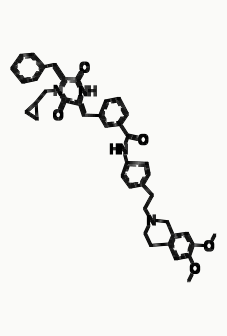 COc1cc2c(cc1OC)CN(CCc1ccc(NC(=O)c3cccc(/C=c4\[nH]c(=O)/c(=C/c5ccccc5)n(CC5CC5)c4=O)c3)cc1)CC2